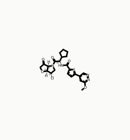 COc1cc(-c2ccc(C(=O)N[C@H](C(=O)N3C[C@H](Cl)[C@H]4OCC(=O)[C@H]43)C3CCCC3)s2)cnn1